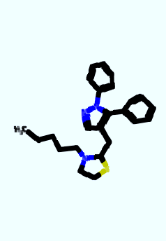 CCCCCN1CCSC1Cc1cnn(-c2ccccc2)c1-c1ccccc1